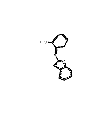 O=C(O)C1=CC=CCC1=Nc1nc2ccccc2s1